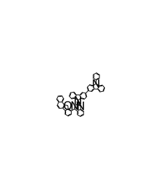 c1ccc(-n2c3ccccc3c3cc(-c4ccc5c(c4)c4ccccc4n5-c4nc(-c5cccc6c5oc5c7ccccc7ccc65)c5ccccc5n4)ccc32)cc1